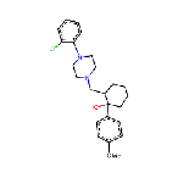 COc1ccc(C2(O)CCCCC2CN2CCN(c3ccccc3Cl)CC2)cc1